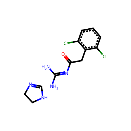 C1=NCCN1.NC(N)=NC(=O)Cc1c(Cl)cccc1Cl